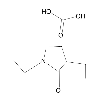 CCC1CCN(CC)C1=O.O=C(O)O